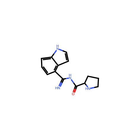 N=C(NC(=O)C1CCCN1)c1cccc2[nH]ccc12